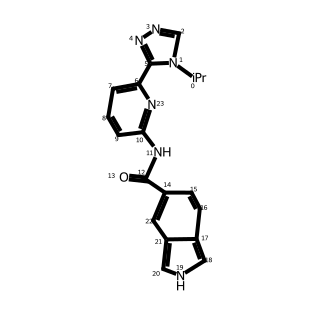 CC(C)n1cnnc1-c1cccc(NC(=O)c2ccc3c[nH]cc3c2)n1